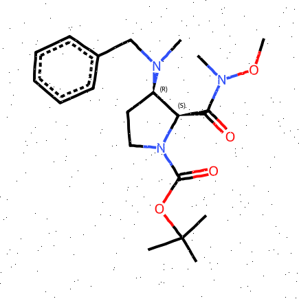 CON(C)C(=O)[C@@H]1[C@H](N(C)Cc2ccccc2)CCN1C(=O)OC(C)(C)C